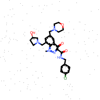 Cn1nc(C(=O)NCc2ccc(Cl)cc2)c(=O)c2cc(CN3CCOCC3)cc(CN3CC[C@@H](O)C3)c21